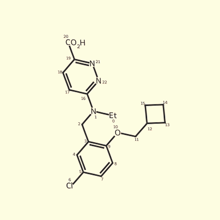 CCN(Cc1cc(Cl)ccc1OCC1CCC1)c1ccc(C(=O)O)nn1